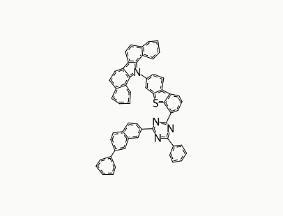 c1ccc(-c2ccc3ccc(-c4nc(-c5ccccc5)nc(-c5cccc6c5sc5cc(-n7c8c9ccccc9ccc8c8ccc9ccccc9c87)ccc56)n4)cc3c2)cc1